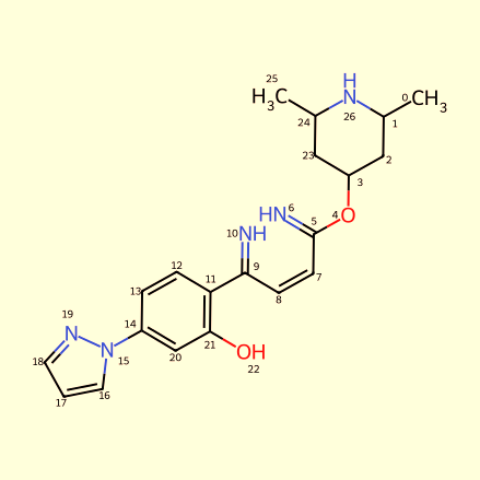 CC1CC(OC(=N)/C=C\C(=N)c2ccc(-n3cccn3)cc2O)CC(C)N1